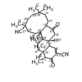 C[C@@H]1C(=O)C(C#N)=C[C@]2(C)[C@H]3CC(=O)C4CCC(C)(C)CC[C@](C)(C#N)CC[C@@]4(C)[C@]3(C)CC[C@@H]12